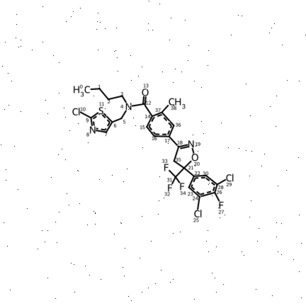 CCCCN(Cc1cnc(Cl)s1)C(=O)c1ccc(C2=NOC(c3cc(Cl)c(F)c(Cl)c3)(C(F)(F)F)C2)cc1C